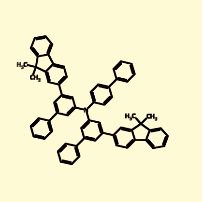 CC1(C)c2ccccc2-c2ccc(-c3cc(-c4ccccc4)cc(N(c4ccc(-c5ccccc5)cc4)c4cc(-c5ccccc5)cc(-c5ccc6c(c5)C(C)(C)c5ccccc5-6)c4)c3)cc21